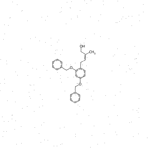 CC(=CCc1ccc(OCc2ccccc2)cc1OCc1ccccc1)CO